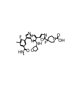 CNC(=O)c1cc(C)c(F)c(-c2cnn3cc(-c4cnc(C5(F)CCN(C(=O)O)CC5)o4)c(NC4CCOC4)nc23)c1